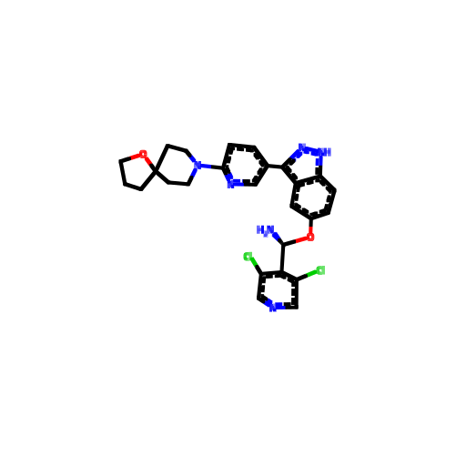 N[C@@H](Oc1ccc2[nH]nc(-c3ccc(N4CCC5(CCCO5)CC4)nc3)c2c1)c1c(Cl)cncc1Cl